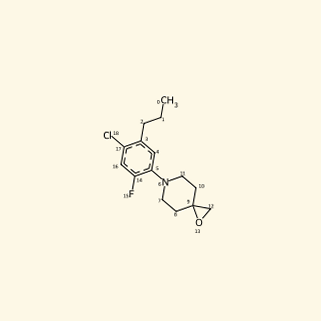 CCCc1cc(N2CCC3(CC2)CO3)c(F)cc1Cl